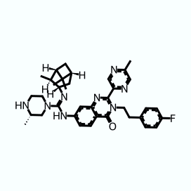 Cc1cnc(-c2nc3cc(NC(=N[C@H]4C[C@H]5C[C@@H]([C@@H]4C)C5(C)C)N4CCN[C@@H](C)C4)ccc3c(=O)n2CCc2ccc(F)cc2)cn1